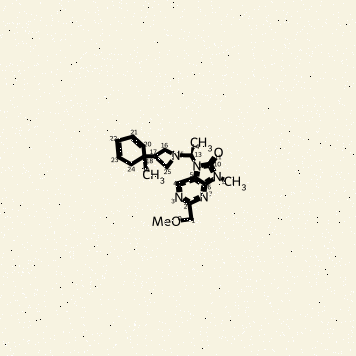 COCc1ncc2c(n1)n(C)c(=O)n2[C@H](C)N1CC(C2(C)C=CC=CC2)C1